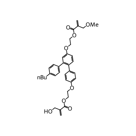 C=C(CO)C(=O)OCCOc1ccc(-c2ccc(OCCOC(=O)C(=C)COC)cc2-c2ccc(CCCC)cc2)cc1